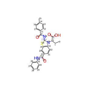 CCC(C(=O)O)n1/c(=N/C(=O)c2ccc(C)cc2)sc2cc(C(=O)Nc3ccccc3)ccc21